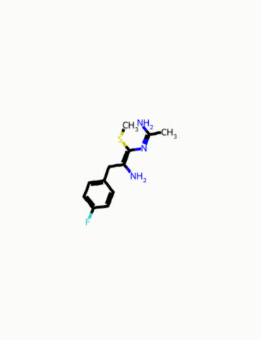 CSC(/N=C(/C)N)=C(/N)Cc1ccc(F)cc1